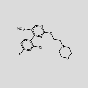 O=C(O)c1cnc(OCCN2CCOCC2)nc1-c1ccc(F)cc1Cl